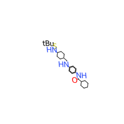 CC(C)(C)SNC1CCC(CNc2ccc(NC(=O)C3CCCCC3)cc2)CC1